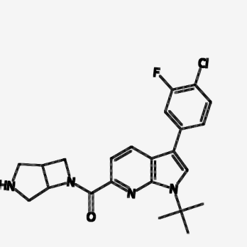 CC(C)(C)n1cc(-c2ccc(Cl)c(F)c2)c2ccc(C(=O)N3CC4CNCC43)nc21